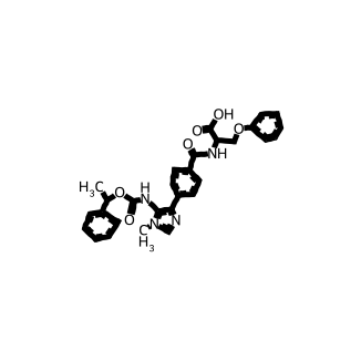 CC(OC(=O)Nc1c(-c2ccc(C(=O)NC(COc3ccccc3)C(=O)O)cc2)ncn1C)c1ccccc1